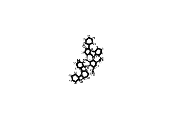 CCc1c(-n2c3ccccc3c3c4c(ccc32)sc2ccccc24)c(C#N)cc(C#N)c1-n1c2ccccc2c2c3c(ccc21)sc1ccccc13